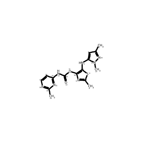 Cc1cc(Nc2sc(C)nc2OC(=O)Nc2ccnc(C)n2)n(C)n1